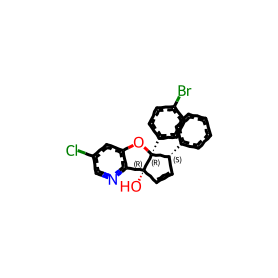 O[C@@]12C=C[C@@H](c3ccccc3)[C@]1(c1ccc(Br)cc1)Oc1cc(Cl)cnc12